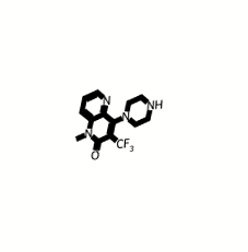 Cn1c(=O)c(C(F)(F)F)c(N2CCNCC2)c2ncccc21